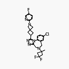 CC1(N2Cc3cc(Cl)ccc3-n3c(nnc3C3CC4(C3)CN(c3ccc(F)cn3)C4)C2)CC(F)(F)C1